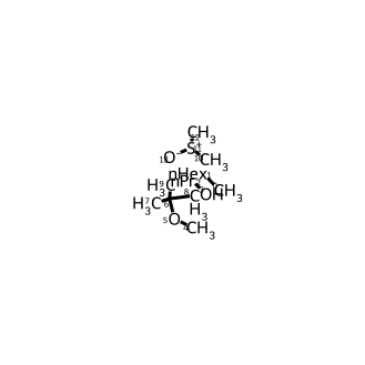 CCCCCCC.CCCO.COC(C)(C)C.C[S+](C)[O-]